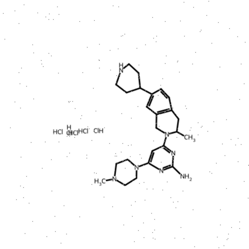 CC1Cc2ccc(C3CCNCC3)cc2CN1c1cc(N2CCN(C)CC2)nc(N)n1.Cl.Cl.Cl.Cl.Cl